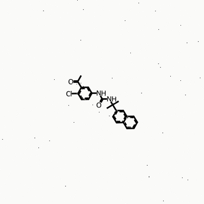 CC(=O)c1cc(NC(=O)NC(C)(C)c2ccc3ccccc3c2)ccc1Cl